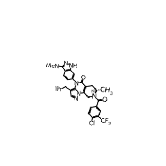 CNc1n[nH]c2cc(-n3c(=O)c4c(n5ncc(CC(C)C)c35)CN(C(=O)c3ccc(Cl)c(C(F)(F)F)c3)[C@@H](C)C4)ccc12